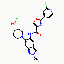 Cn1cc2cc(NC(=O)c3coc(-c4ccnc(Cl)c4)n3)c(N3CCCCC3)cc2n1.OCl